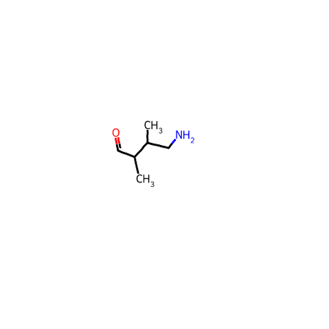 CC(C=O)C(C)CN